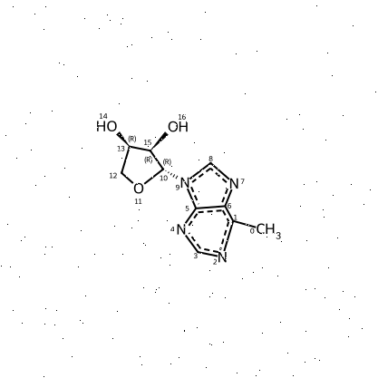 Cc1ncnc2c1ncn2[C@@H]1OC[C@@H](O)[C@H]1O